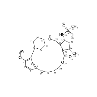 CC(C)Oc1ccc2cc1C1CCC(CC1)OCC1C(NS(C)(=O)=O)CC(C)N1C(=O)OCCCO2